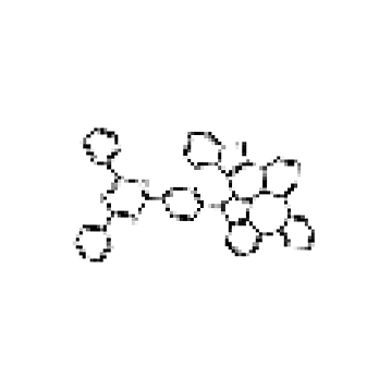 c1ccc(-c2nc(-c3ccccc3)nc(-c3ccc(-n4c5cccc6c5c5c7c(cccc7c7oc8ccccc8c7c54)-c4ccccc4-6)cc3)n2)cc1